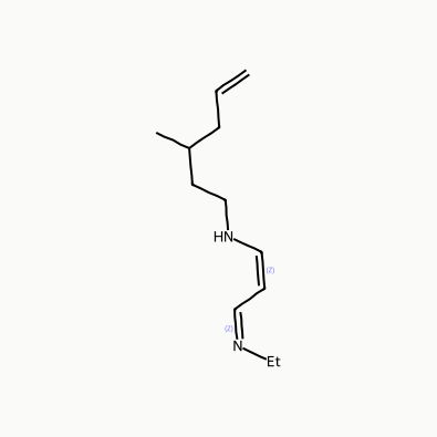 C=CCC(C)CCN/C=C\C=N/CC